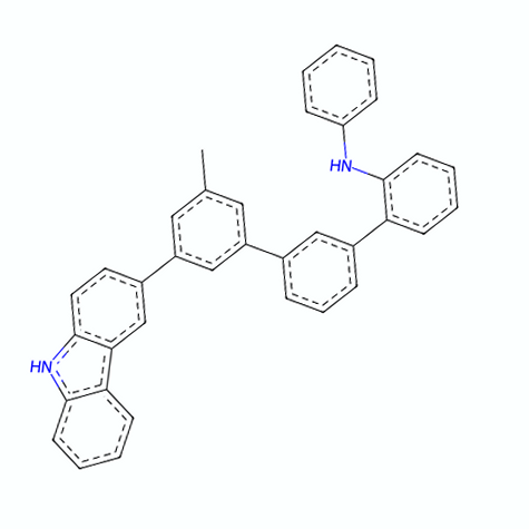 Cc1cc(-c2cccc(-c3ccccc3Nc3ccccc3)c2)cc(-c2ccc3[nH]c4ccccc4c3c2)c1